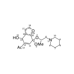 COC1(OCCN2CCCCC2)C=C(C(C)=O)C(O)c2ccoc21